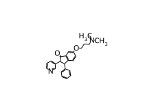 CN(C)CCCOc1ccc2c(c1)C(=O)C(c1cccnc1)C2c1ccccc1